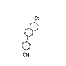 CCC1CCc2cc(-c3ccc(C#N)cc3)ccc2C1